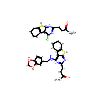 COC(=O)CCc1nc(Cl)c2c3c(sc2n1)CCCC3.COC(=O)CCc1nc(NCc2ccc3c(c2)OCO3)c2c3c(sc2n1)CCCC3